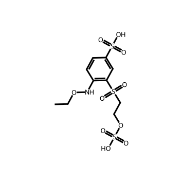 CCONc1ccc(S(=O)(=O)O)cc1S(=O)(=O)CCOS(=O)(=O)O